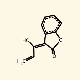 C=CC(O)=C1C(=O)Oc2ccccc21